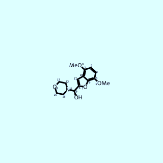 COc1ccc(OC)c2oc(C(O)N3CCOCC3)cc12